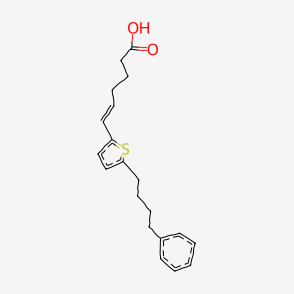 O=C(O)CCCC=Cc1ccc(CCCCc2ccccc2)s1